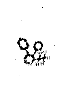 [2H]C([2H])([2H])C([2H])([2H])c1nccc(-c2ccccc2)c1-c1ccccc1